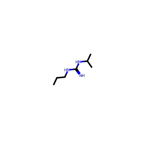 CCCNC(=N)NC(C)C